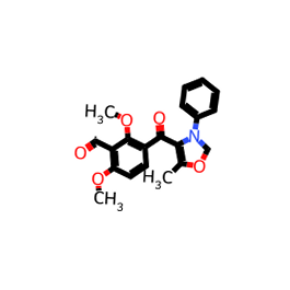 COc1ccc(C(=O)C2=C(C)OCN2c2ccccc2)c(OC)c1[C]=O